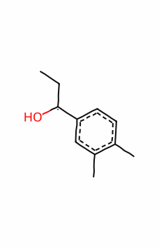 CC[C](O)c1ccc(C)c(C)c1